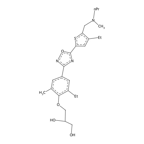 CCCN(C)Cc1sc(-c2nc(-c3cc(C)c(OCC(O)CO)c(CC)c3)no2)cc1CC